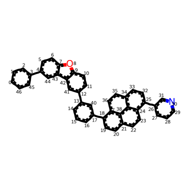 c1ccc(-c2ccc3oc4ccc(-c5cccc(-c6ccc7ccc8c(-c9cccnc9)ccc9ccc6c7c98)c5)cc4c3c2)cc1